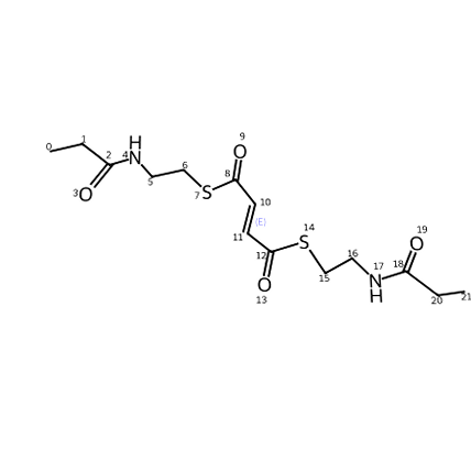 CCC(=O)NCCSC(=O)/C=C/C(=O)SCCNC(=O)CC